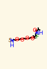 CSNCCOCCOCCOCCOC(C)(C)C(F)CNC(=O)C(C)C